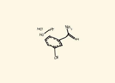 CC(C)O.Cl.N#Cc1cccc(C(=N)N)c1